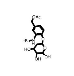 CC(=O)OCc1ccc(OC2CC(O)C(O)C(O)O2)c(NC(C)(C)C)c1